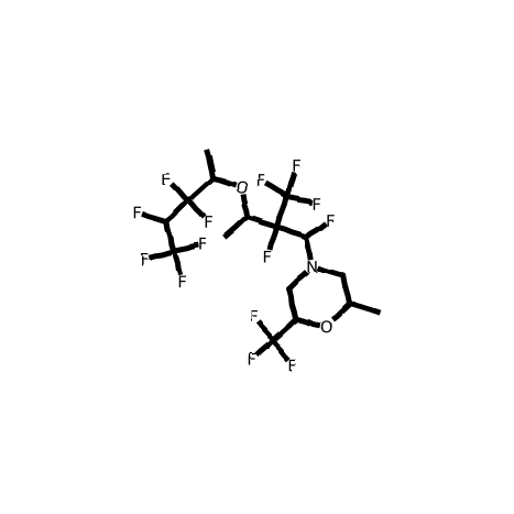 CC1CN(C(F)C(F)(C(C)OC(C)C(F)(F)C(F)C(F)(F)F)C(F)(F)F)CC(C(F)(F)F)O1